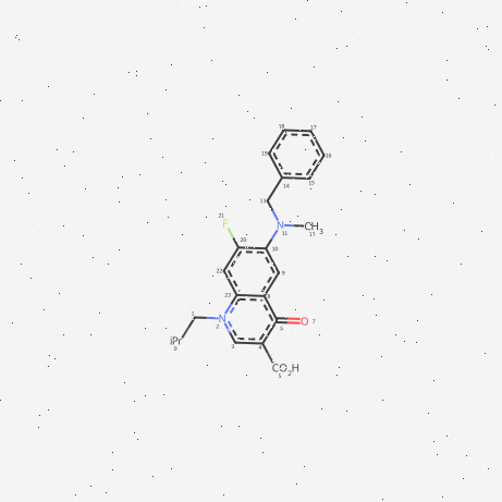 CC(C)Cn1cc(C(=O)O)c(=O)c2cc(N(C)Cc3ccccc3)c(F)cc21